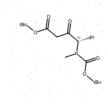 CC(C)[C@@H](C(=O)CC(=O)OC(C)(C)C)N(C)C(=O)OC(C)(C)C